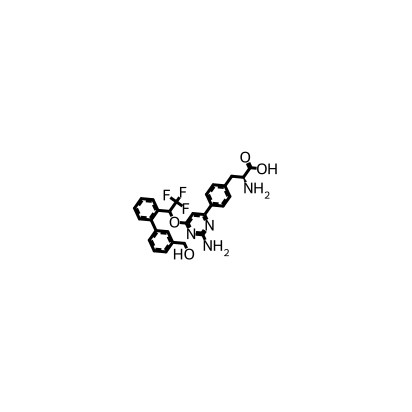 Nc1nc(OC(c2ccccc2-c2cccc(CO)c2)C(F)(F)F)cc(-c2ccc(C[C@H](N)C(=O)O)cc2)n1